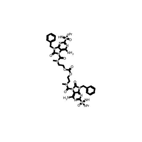 CCCS(=N)(=O)c1nc(N)c2c(n1)n(Cc1ccccc1)c(=O)n2C(=O)N(C)CCOC(=O)OCCN(C)C(=O)n1c(=O)n(Cc2ccccc2)c2nc(S(=N)(=O)CCC)nc(N)c21